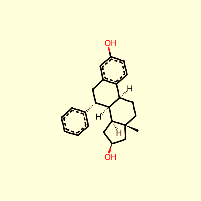 C[C@]12CC[C@@H]3c4ccc(O)cc4C[C@@H](c4ccccc4)[C@@H]3[C@@H]1C[C@H](O)C2